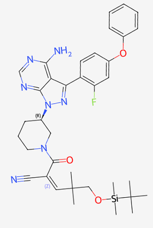 CC(C)(/C=C(/C#N)C(=O)N1CCC[C@@H](n2nc(-c3ccc(Oc4ccccc4)cc3F)c3c(N)ncnc32)C1)CO[Si](C)(C)C(C)(C)C